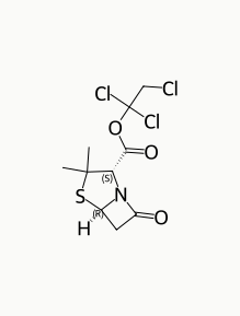 CC1(C)S[C@@H]2CC(=O)N2[C@H]1C(=O)OC(Cl)(Cl)CCl